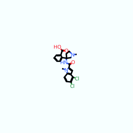 CN1CCC(NC(=O)c2cc3c(Cl)c(Cl)ccc3n2C)(c2ccccc2C(=O)O)C1